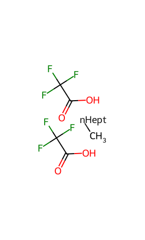 CCCCCCCC.O=C(O)C(F)(F)F.O=C(O)C(F)(F)F